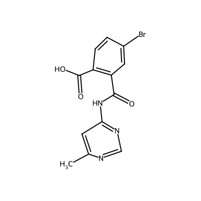 Cc1cc(NC(=O)c2cc(Br)ccc2C(=O)O)ncn1